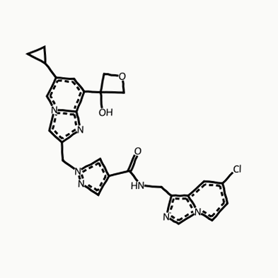 O=C(NCc1ncn2ccc(Cl)cc12)c1cnn(Cc2cn3cc(C4CC4)cc(C4(O)COC4)c3n2)c1